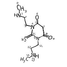 CNCCN1C(=O)CC(=O)N(CCNC)C1=S